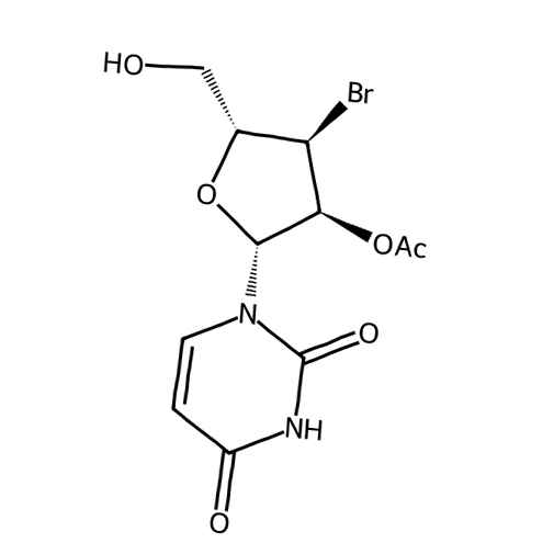 CC(=O)O[C@@H]1[C@H](Br)[C@@H](CO)O[C@H]1n1ccc(=O)[nH]c1=O